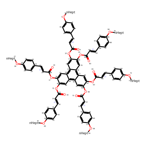 CCCCCCCOc1ccc(/C=C/C(=O)Oc2cc3c4cc(OC(=O)/C=C/c5ccc(OCCCCCCC)cc5)c(OC(=O)/C=C/c5ccc(OCCCCCCC)cc5)cc4c4cc(OC(=O)/C=C/c5ccc(OCCCCCCC)cc5)c(OC(=O)/C=C/c5ccc(OCCCCCCC)cc5)cc4c3cc2OC(=O)/C=C/c2ccc(OCCCCCCC)cc2)cc1